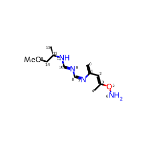 C=C(/C=C(\C)ON)/N=C\N=C\N[C@H](C)COC